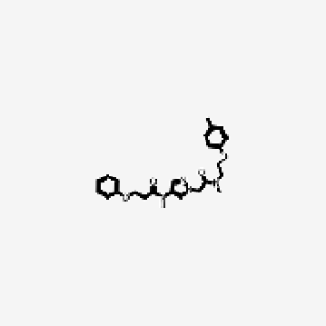 Cc1ccc(OCCN(C)C(=O)Cn2cc(NC(=O)CCOc3ccccc3)cn2)cc1